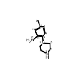 Cc1ccc(N2CCNCC2)c(N)c1